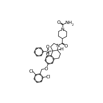 NC(=O)N1CCC(C(=O)N2CC[C@@]3(S(=O)(=O)c4ccccc4)c4ccc(OCc5c(Cl)cccc5Cl)cc4CC[C@@H]23)CC1